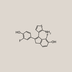 Nc1sccc1C1=C(c2ccc(O)c(F)c2)Cc2ccc(O)c(F)c21